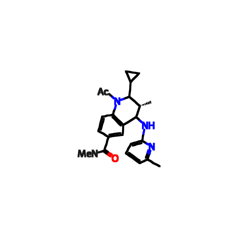 CNC(=O)c1ccc2c(c1)C(Nc1cccc(C)n1)[C@@H](C)C(C1CC1)N2C(C)=O